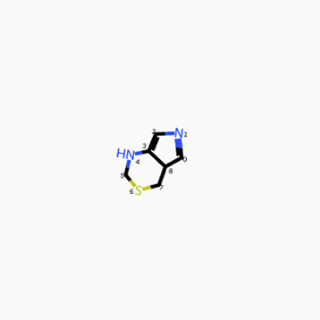 C1=NC=C2NCSCC12